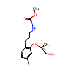 C[C@@H](CO)Oc1cc(F)ccc1CCCNC(=O)OC(C)(C)C